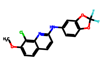 COc1ccc2ccc(Nc3ccc4c(c3)OC(F)(F)O4)nc2c1Cl